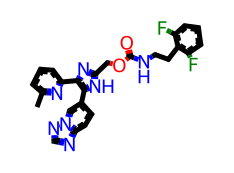 Cc1cccc(-c2nc(COC(=O)NCCc3c(F)cccc3F)[nH]c2-c2ccc3ncnn3c2)n1